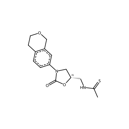 CC(=S)NC[C@H]1CN(c2ccc3c(c2)COCC3)C(=O)O1